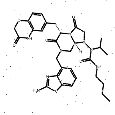 CCCCNC(=O)N(C(C)C)N1CC(=O)N2[C@@H](Cc3ccc4c(c3)NC(=O)CO4)C(=O)N(Cc3cccc4sc(N)nc34)C[C@@H]21